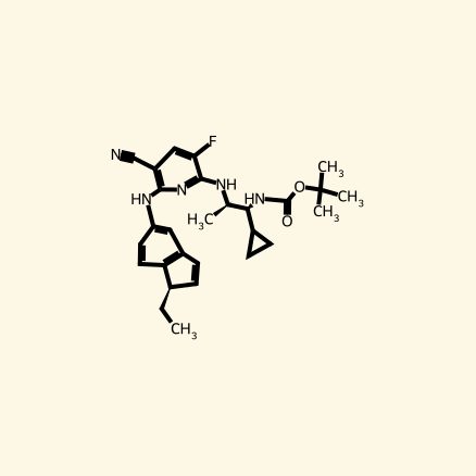 CC[C@@H]1C=Cc2cc(Nc3nc(N[C@H](C)[C@@H](NC(=O)OC(C)(C)C)C4CC4)c(F)cc3C#N)ccc21